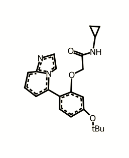 CC(C)(C)Oc1ccc(-c2cccc3nccn23)c(OCC(=O)NC2CC2)c1